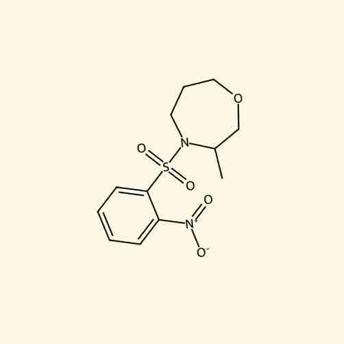 CC1COCCCN1S(=O)(=O)c1ccccc1[N+](=O)[O-]